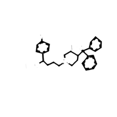 CC(CCCN1CCC(C(O)(c2ccccc2)c2ccccc2)CC1)c1ccc(Cl)cc1